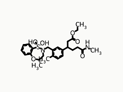 CCOC(=O)CC(CCC(=O)NC)c1ccc(C)c(CN2C[C@H](C)Oc3ccccc3S2(O)O)c1